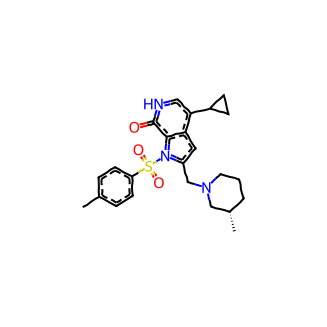 Cc1ccc(S(=O)(=O)n2c(CN3CCC[C@H](C)C3)cc3c(C4CC4)c[nH]c(=O)c32)cc1